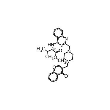 COC(=O)[C@@H](Nc1nc(CN2CCN(Cc3coc4ccccc4c3=O)CC2)nc2ccccc12)C(C)C